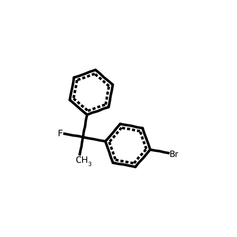 CC(F)(c1ccccc1)c1ccc(Br)cc1